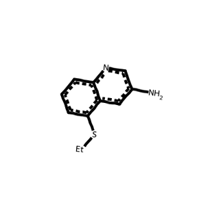 CCSc1cccc2ncc(N)cc12